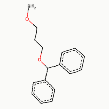 BOCCCOC(c1ccccc1)c1ccccc1